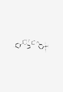 Fc1ccc(C2CCN(C[C@H]3CN(Cc4ccc(Cl)c(C(F)(F)F)c4)C[C@@H]3c3ccsc3)CC2)cc1